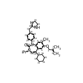 C=C(C)COc1cc2c(cc1C)N(c1ccc(CC3=NCCN3)cc1)C(=O)N(C(C)C)N=C2C1CCCCC1